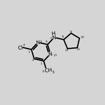 Cc1cc(Cl)nc(NC2CCCC2)n1